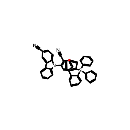 N#Cc1ccc2c(c1)c1ccccc1n2-c1cc(-c2ccccc2[Si](c2ccccc2)(c2ccccc2)c2ccccc2)ccc1C#N